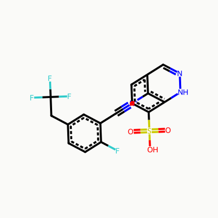 O=S(=O)(O)c1ccc2c([N+]#Cc3cc(CC(F)(F)F)ccc3F)c1NN=C2